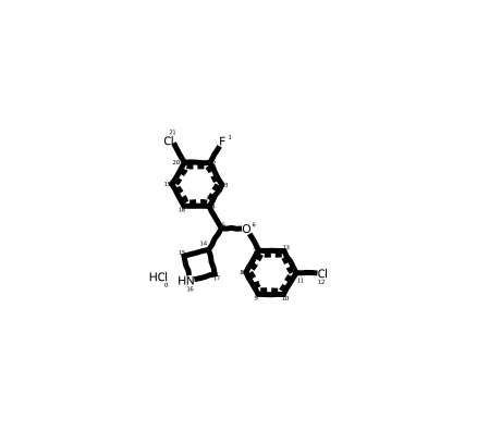 Cl.Fc1cc(C(Oc2cccc(Cl)c2)C2CNC2)ccc1Cl